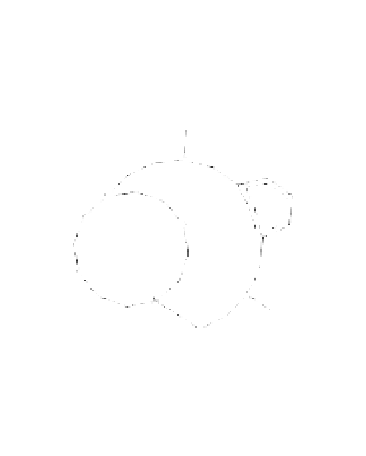 CN1CCN2CCOCCN(CCOCC2)CCN(C)Cc2cccc(c2)C1